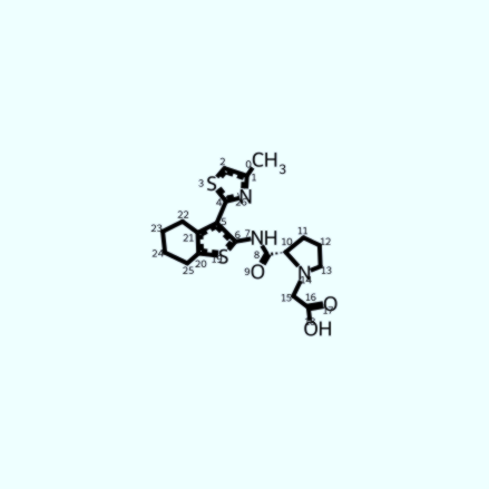 Cc1csc(-c2c(NC(=O)[C@@H]3CCCN3CC(=O)O)sc3c2CCCC3)n1